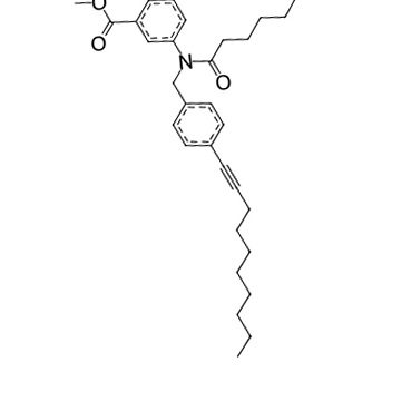 CCCCCCCCC#Cc1ccc(CN(C(=O)CCCCC)c2cccc(C(=O)OC)c2)cc1